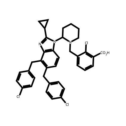 O=C(O)c1cccc(CN2CCCCC2n2c(C3CC3)nc3c(Cc4ccc(Cl)cc4)c(Cc4ccc(Cl)cc4)ccc32)c1Cl